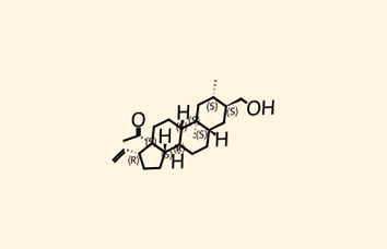 C=C[C@H]1CC[C@H]2[C@@H]3CC[C@H]4C[C@H](CO)[C@@H](C)C[C@]4(C)[C@H]3CC[C@]12C(C)=O